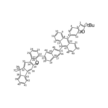 CC(C)(C)c1cc2ccc(-c3c4ccccc4c(-c4ccc5ccc(-c6cccc7c6oc6cc8c(cc67)C(C)(C)c6ccccc6-8)cc5c4)c4ccccc34)cc2o1